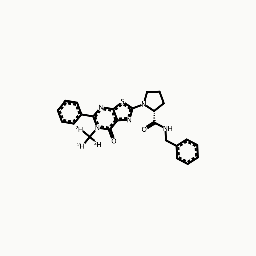 [2H]C([2H])([2H])n1c(-c2ccccc2)nc2sc(N3CCC[C@@H]3C(=O)NCc3ccccc3)nc2c1=O